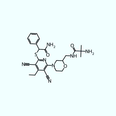 CCc1c(C#N)c(SC(C(N)=O)c2ccccc2)nc(N2CCOC(CNC(=O)C(C)(C)N)C2)c1C#N